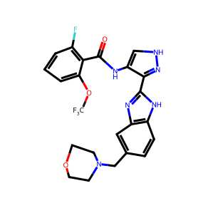 O=C(Nc1c[nH]nc1-c1nc2cc(CN3CCOCC3)ccc2[nH]1)c1c(F)cccc1OC(F)(F)F